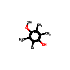 CCc1c(C)c(OC(C)(C)C)c(C)c(C)c1O